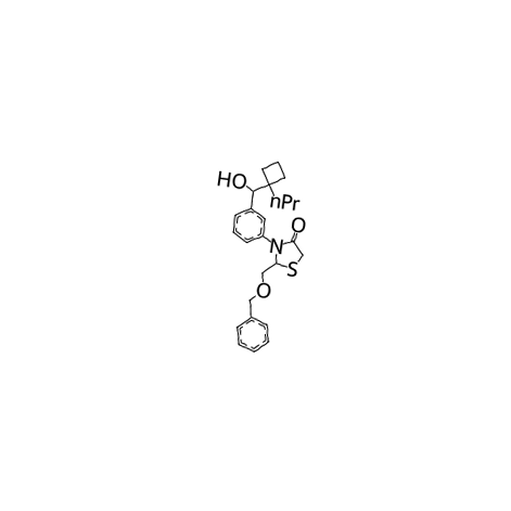 CCCC1(C(O)c2cccc(N3C(=O)CSC3COCc3ccccc3)c2)CCC1